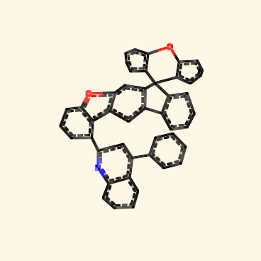 c1ccc(-c2cc(-c3cccc4oc5cc6c(cc5c34)-c3ccccc3C63c4ccccc4Oc4ccccc43)nc3ccccc23)cc1